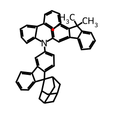 CC1(C)c2ccccc2-c2cc(N(c3ccc4c(c3)-c3ccccc3C43C4CC5CC(C4)CC3C5)c3ccccc3-c3ccccc3)ccc21